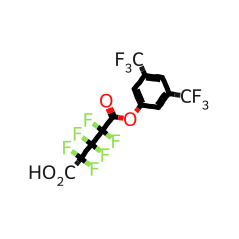 O=C(O)C(F)(F)C(F)(F)C(F)(F)C(=O)Oc1cc(C(F)(F)F)cc(C(F)(F)F)c1